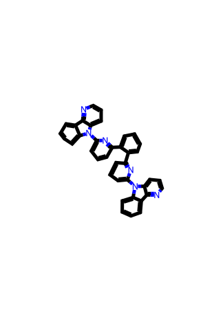 c1cc(-c2ccccc2-c2cccc(-n3c4ccccc4c4ncccc43)n2)nc(-n2c3ccccc3c3ncccc32)c1